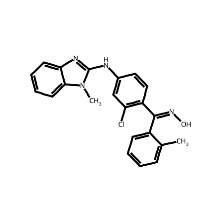 Cc1ccccc1C(=NO)c1ccc(Nc2nc3ccccc3n2C)cc1Cl